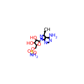 C#Cc1nn([C@@H]2OC(COS(N)(=O)=O)C(O)[C@H]2O)c2ncnc(N)c12